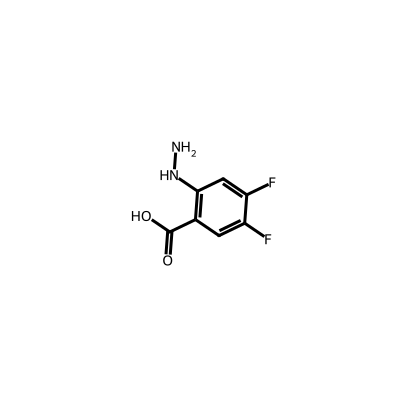 NNc1cc(F)c(F)cc1C(=O)O